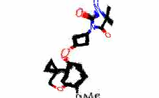 COc1ccc(OC2CC(N3C(=O)NC(C)(C)C3=O)C2)c2c1OCC21CC1